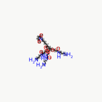 NCCCNC(=O)CCOCC(COCCC(=O)NCCCN)(COCCC(=O)NCCCN)CC(=O)CCCCCN1C(=O)CCC1=O